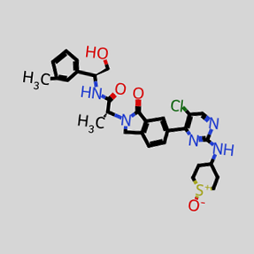 Cc1cccc([C@@H](CO)NC(=O)[C@@H](C)N2Cc3ccc(-c4nc(NC5CC[S+]([O-])CC5)ncc4Cl)cc3C2=O)c1